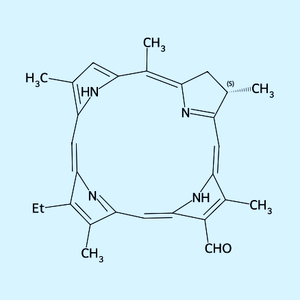 CCC1=C(C)c2cc3[nH]c(cc4nc(c(C)c5cc(C)c(cc1n2)[nH]5)C[C@@H]4C)c(C)c3C=O